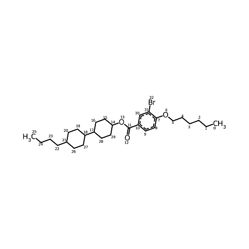 CCCCCCOc1ccc(C(=O)OC2CCC(C3CCC(CCCC)CC3)CC2)cc1Br